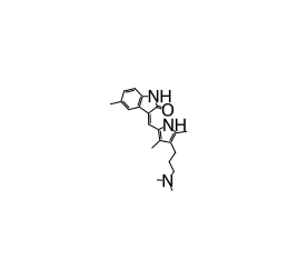 Cc1ccc2c(c1)/C(=C/c1[nH]c(C)c(CCCN(C)C)c1C)C(=O)N2